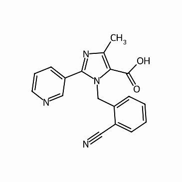 Cc1nc(-c2cccnc2)n(Cc2ccccc2C#N)c1C(=O)O